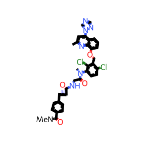 CNC(=O)c1ccc(/C=C/C(=O)NCC(=O)N(C)c2ccc(Cl)c(COc3cccc4c(-n5cncn5)cc(C)nc34)c2Cl)cc1